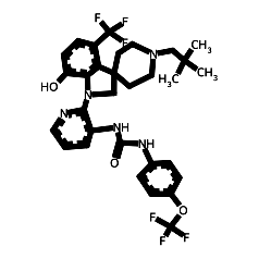 CC(C)(C)CN1CCC2(CC1)CN(c1ncccc1NC(=O)Nc1ccc(OC(F)(F)F)cc1)c1c(O)ccc(C(F)(F)F)c12